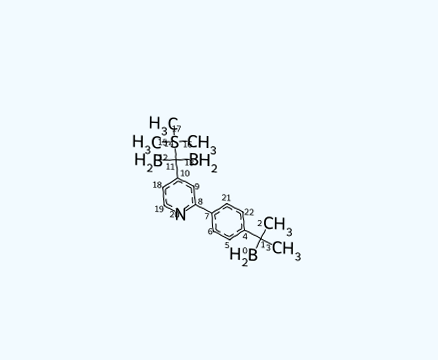 BC(C)(C)c1ccc(-c2cc(C(B)(B)S(C)(C)C)ccn2)cc1